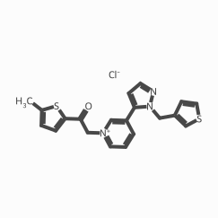 Cc1ccc(C(=O)C[n+]2cccc(-c3ccnn3Cc3ccsc3)c2)s1.[Cl-]